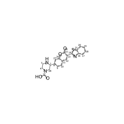 O=C(O)N1CCNC(c2ccc3cc(-c4nc5ccccc5s4)c(=O)oc3c2)C1